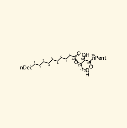 CCCCCCCCCCCCCCCCCCCC(=O)OC(CO)C(O)C(=O)CCCCC